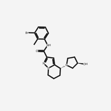 Cc1c(Br)cccc1NC(=O)c1cc2n(n1)CCC[C@H]2N1CC[C@@H](O)C1